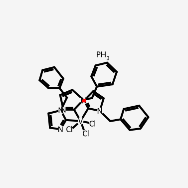 P.[Cl][V]([Cl])([Cl])([c]1nccn1Cc1ccccc1)([c]1nccn1Cc1ccccc1)[c]1nccn1Cc1ccccc1